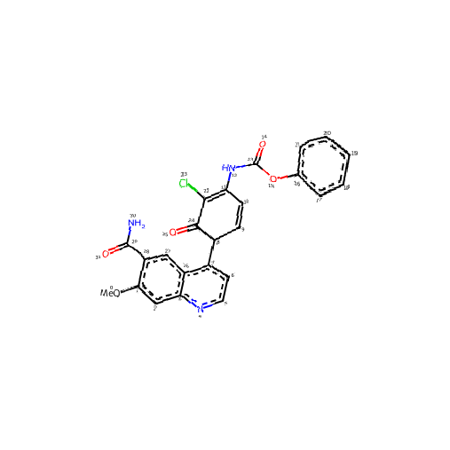 COc1cc2nccc(C3C=CC(NC(=O)Oc4ccccc4)=C(Cl)C3=O)c2cc1C(N)=O